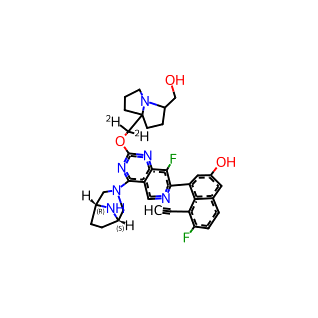 [2H]C([2H])(Oc1nc(N2C[C@H]3CC[C@@H](C2)N3)c2cnc(-c3cc(O)cc4ccc(F)c(C#C)c34)c(F)c2n1)C12CCCN1C(CO)CC2